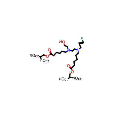 CCCCCCCCC(CCCCCCCC)COC(=O)CCCCCN(C/C=C/F)CCN(CCO)CCCCCC(=O)OCC(CCCCCCCC)CCCCCCCC